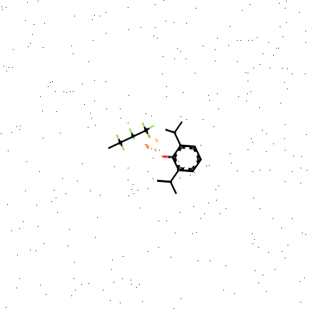 CC(C)c1cccc(C(C)C)c1OS(=O)(=O)C(F)(F)C(F)(F)C(C)(F)F